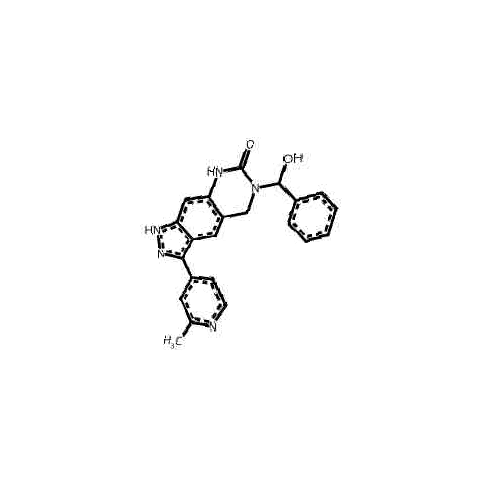 Cc1cc(-c2n[nH]c3cc4c(cc23)CN(C(O)c2ccccc2)C(=O)N4)ccn1